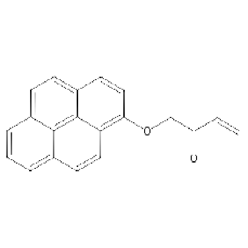 C=CC(=O)COc1ccc2ccc3cccc4ccc1c2c34